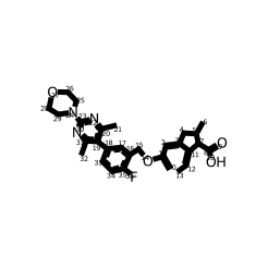 C=C(/C=C1/CC(C)C(C(=O)O)/C1=C/C)OCc1cc(-c2c(C)nc(N3CCOCC3)nc2C)ccc1F